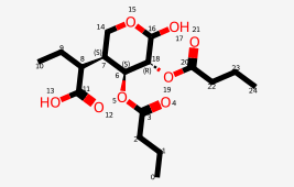 CCCC(=O)O[C@H]1[C@@H](C(CC)C(=O)O)COC(O)[C@@H]1OC(=O)CCC